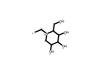 OCC1C(O)C(O)C(O)CN1CI